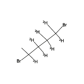 [2H]C([2H])(Br)C([2H])([2H])C([2H])([2H])C([2H])(C)Br